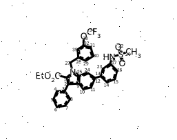 CCOC(=O)c1c(-c2ccccc2)c2ccc(-c3cccc(NS(C)(=O)=O)c3)cc2n1Cc1cccc(OC(F)(F)F)c1